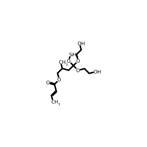 CC=CC(=O)OCC(C)CC(O[SiH3])(OCCO)OCCO